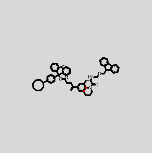 C=C(CCC(=O)OC(c1ccccc1)(c1ccc(C2CCCCCCC2)cc1)c1ccccc1Cl)c1cccc(C[C@H](NCOCC2c3ccccc3-c3ccccc32)C(=O)N2CCCCC2)c1